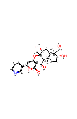 CC12Oc3cc(-c4cccnc4)oc(=O)c3[C@H](O)C1[C@@]1(C)CC[C@H](O)[C@](C)(CO)C1C[C@@H]2O